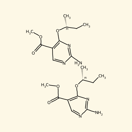 CC[C@@H](C)Oc1nc(N)ncc1C(=O)OC.CC[C@@H](C)Oc1nc(N)ncc1C(=O)OC